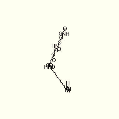 O=[C]CNC(=O)COCCOCCNC(=O)COCCOCCC(=O)CCCS(=O)(=O)NC(=O)CCCCCCCCCCCCCCCc1nnn[nH]1